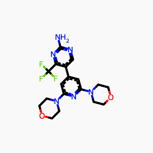 Nc1ncc(-c2cc(N3CCOCC3)nc(N3CCOCC3)c2)c(C(F)(F)F)n1